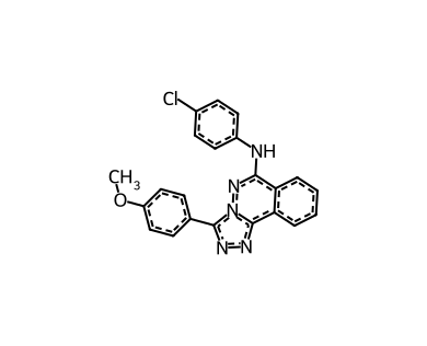 COc1ccc(-c2nnc3c4ccccc4c(Nc4ccc(Cl)cc4)nn23)cc1